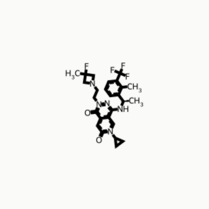 Cc1c([C@@H](C)Nc2nn(CCN3CC(C)(F)C3)c(=O)c3cc(=O)n(C4CC4)cc23)cccc1C(F)(F)F